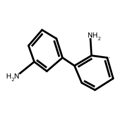 Nc1cccc(-c2ccc[c]c2N)c1